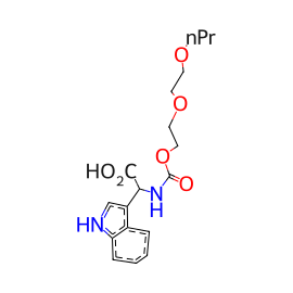 CCCOCCOCCOC(=O)NC(C(=O)O)c1c[nH]c2ccccc12